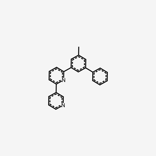 Cc1cc(-c2ccccc2)cc(-c2cccc(-c3cccnc3)n2)c1